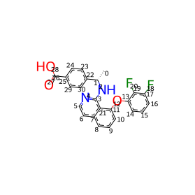 C[C@H](Nc1nccc2cccc(Oc3cccc(F)c3F)c12)c1ccc(C(=O)O)cc1